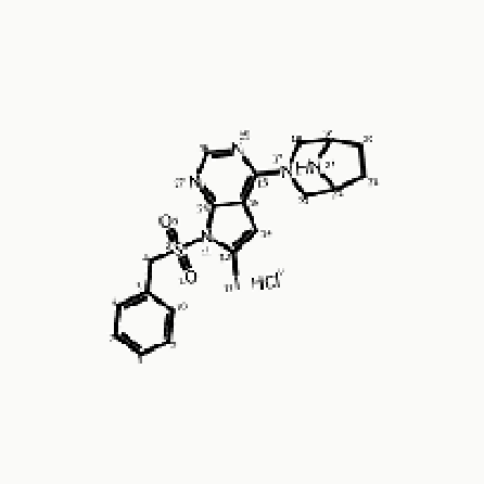 Cl.O=S(=O)(Cc1ccccc1)n1c(I)cc2c(N3CC4CCC(C3)N4)ncnc21